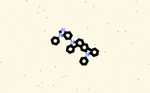 c1ccc(-n2cnc3ccc(-n4c5ccccc5c5c6cc7c(cc6ccc54)c4ccccc4n7-c4ccccc4)cc32)cc1